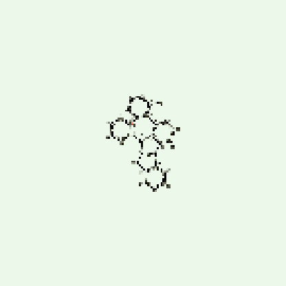 Cc1cccc(C)c1-c1ncnc2c1N(c1ccccc1)C1Cc3ccccc3N21